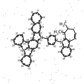 CC1CC=Cc2c(n(-c3ccc(-n4c5cc6ccccc6cc5c5c6c7ccccc7n7c8ccccc8c(cc54)c67)cc3)c3ccccc23)C1C